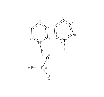 F[n+]1ccccc1.F[n+]1ccccc1.[O-]B([O-])F